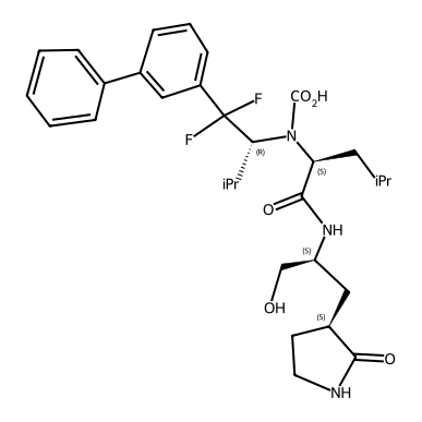 CC(C)C[C@@H](C(=O)N[C@H](CO)C[C@@H]1CCNC1=O)N(C(=O)O)[C@H](C(C)C)C(F)(F)c1cccc(-c2ccccc2)c1